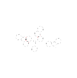 c1cc(-c2ccc3sc4ccccc4c3c2)cc(N(c2ccccc2-c2ccc3ccccc3c2)c2ccccc2-c2ccc3c(c2)sc2ccccc23)c1